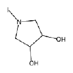 OC1CN(I)CC1O